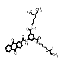 C=CC(=O)OCCCNC(=O)c1cc(NC(=O)c2ccc3c(c2)C(=O)c2ccccc2C3=O)cc(C(=O)NCCCCN(CC)CC)c1